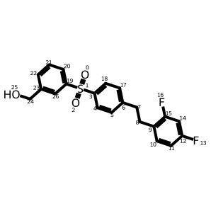 O=S(=O)(c1ccc(CCc2ccc(F)cc2F)cc1)c1cccc(CO)c1